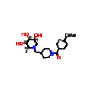 COC1CCC(C(=O)N2CCC(CN3C[C@H](O)[C@@H](O)[C@H](O)[C@H]3C)CC2)CC1